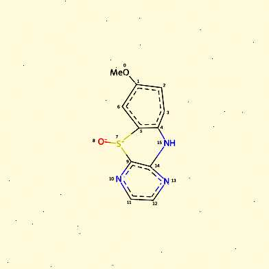 COc1ccc2c(c1)[S+]([O-])c1nccnc1N2